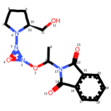 CC(On1on1N1CCC[C@H]1CO)N1C(=O)c2ccccc2C1=O